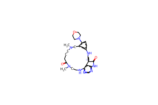 CN1CCCC(=O)N(C)CCNc2ncnc3c2/C(=C/Nc2ccc(N4CCOCC4)c(c2)C1)C(=O)N3